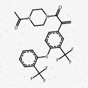 C=C(C(=O)N1CCN(C(C)=O)CC1)c1ccc(Sc2ccccc2C(F)(F)F)c(C(F)(F)F)c1